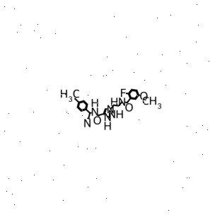 CCc1ccc(C(C#N)NC(=O)C2=CN(CCNC(=O)c3cc(OC)ccc3F)NN2)cc1